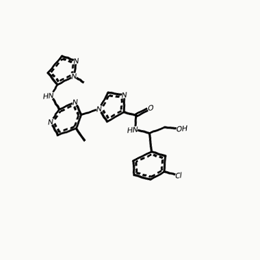 Cc1cnc(Nc2ccnn2C)nc1-n1cnc(C(=O)NC(CO)c2cccc(Cl)c2)c1